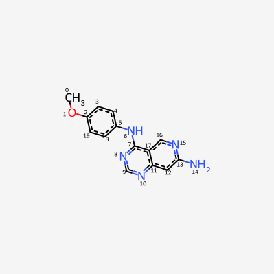 COc1ccc(Nc2ncnc3cc(N)ncc23)cc1